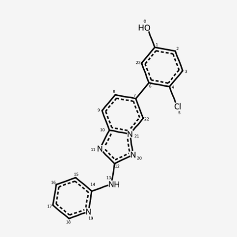 Oc1ccc(Cl)c(-c2ccc3nc(Nc4ccccn4)nn3c2)c1